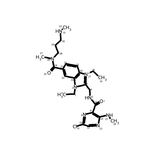 CCn1c(CNC(=O)c2nc(Cl)cnc2NC)[n+](CC)c2ccc(C(=O)N(C)CCCNC)cc21